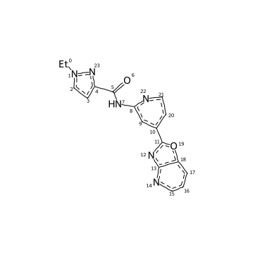 CCn1ccc(C(=O)Nc2cc(-c3nc4ncccc4o3)ccn2)n1